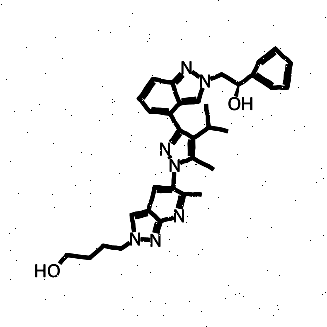 Cc1nc2nn(CCCCO)cc2cc1-n1nc(-c2cccc3nn(C[C@H](O)c4ccccc4)cc23)c(C(C)C)c1C